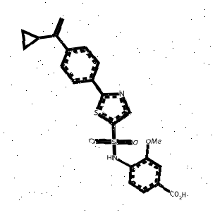 C=C(c1ccc(-c2ncc(S(=O)(=O)Nc3ccc(C(=O)O)cc3OC)s2)cc1)C1CC1